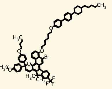 CCCCCC1CCC(c2ccc(-c3ccc(OCCCCCCOc4cccc5c4c(Br)cc4c6c(c7c(c45)OC(c4ccc(OC)cc4)(c4ccc(OCCCC)cc4)C=C7)C(C)(C)c4cc(C(F)(F)F)ccc4-6)cc3)cc2)CC1